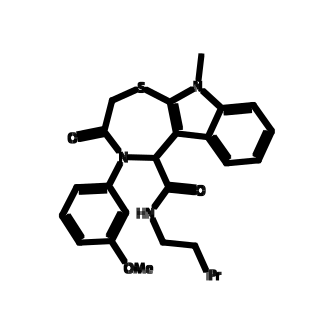 COc1cccc(N2C(=O)CSc3c(c4ccccc4n3C)C2C(=O)NCCC(C)C)c1